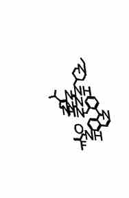 C=C(F)C(=O)Nc1ccc2c(-c3ccccc3CNc3nc(NCC4CCN(CC)CC4)nc4c(C(C)C)cnn34)nccc2c1